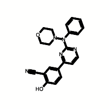 N#Cc1cc(-c2ccnc(N(c3ccccc3)N3CCOCC3)n2)ccc1O